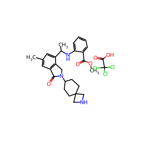 COC(=O)c1ccccc1NC(C)c1cc(C)cc2c1CN(C1CCC3(CC1)CNC3)C2=O.O=C(O)C(Cl)(Cl)Cl